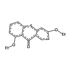 CCOc1ccc2c(=O)c3c(OCC)cccc3sc2c1